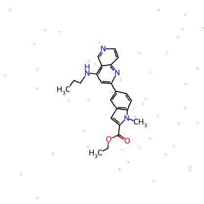 CCCNc1cc(-c2ccc3c(c2)cc(C(=O)OCC)n3C)nc2ccncc12